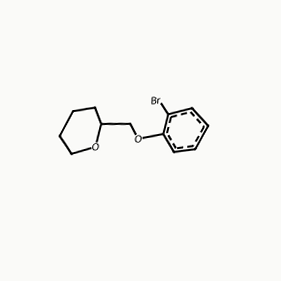 Brc1ccccc1OCC1CCCCO1